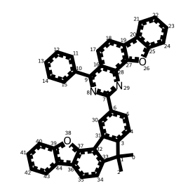 CC1(C)c2ccc(-c3nc(-c4ccccc4)c4ccc5c6ccccc6oc5c4n3)cc2-c2c1ccc1c2oc2ccccc21